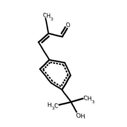 CC(C=O)=Cc1ccc(C(C)(C)O)cc1